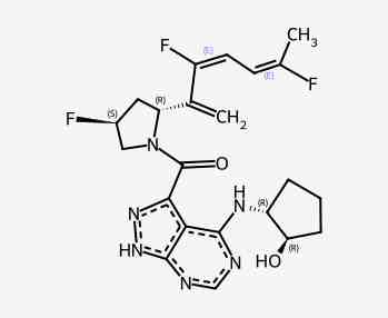 C=C(/C(F)=C\C=C(/C)F)[C@H]1C[C@H](F)CN1C(=O)c1n[nH]c2ncnc(N[C@@H]3CCC[C@H]3O)c12